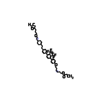 C=CC(=O)CCCO/C=C/C1CC=C(CCc2ccc(-c3ccc(-c4ccc(OCC/C=C\CCOC(=O)C=C)cc4)c(C(F)(F)F)c3C(F)(F)F)cc2)CC1